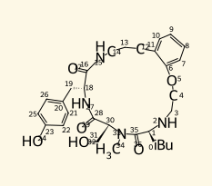 CCC(C)[C@@H]1NCCOc2ccccc2CCCNC(=O)[C@@H](Cc2ccc(O)cc2)NC(=O)[C@H](CO)N(C)C1=O